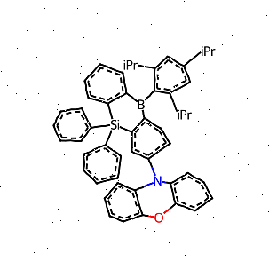 CC(C)c1cc(C(C)C)c(B2c3ccccc3[Si](c3ccccc3)(c3ccccc3)c3cc(N4c5ccccc5Oc5ccccc54)ccc32)c(C(C)C)c1